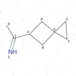 CC(=N)C1CC2(CC2)C1